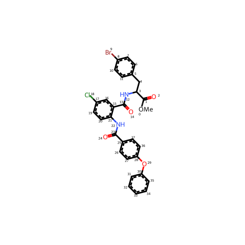 COC(=O)C(Cc1ccc(Br)cc1)NC(=O)c1cc(Cl)ccc1NC(=O)c1ccc(Oc2ccccc2)cc1